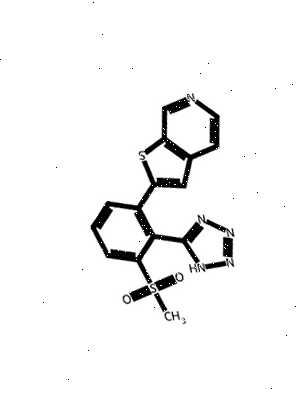 CS(=O)(=O)c1cccc(-c2cc3ccncc3s2)c1-c1nnn[nH]1